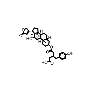 C[C@]12CC[C@H](OC(=O)CC(CC(=O)O)Cc3ccc(O)cc3)C[C@H]1CC[C@@H]1[C@@H]2C[C@@H](O)[C@]2(C)[C@@H](C3=CC(=O)OC3)CCC12O